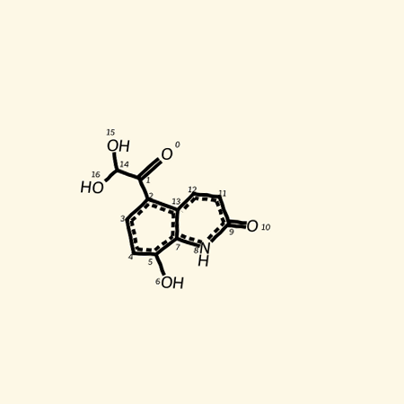 O=C(c1ccc(O)c2[nH]c(=O)ccc12)C(O)O